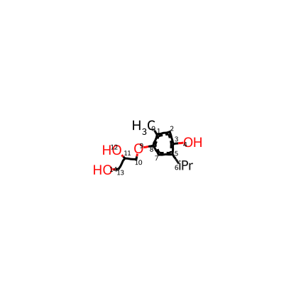 Cc1cc(O)c(C(C)C)cc1OCC(O)CO